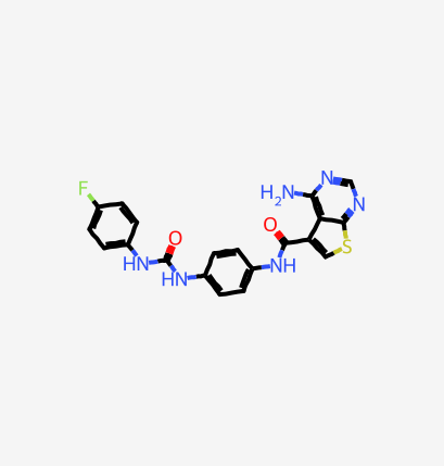 Nc1ncnc2scc(C(=O)Nc3ccc(NC(=O)Nc4ccc(F)cc4)cc3)c12